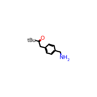 CC(C)(C)C(=O)Cc1ccc(CN)cc1